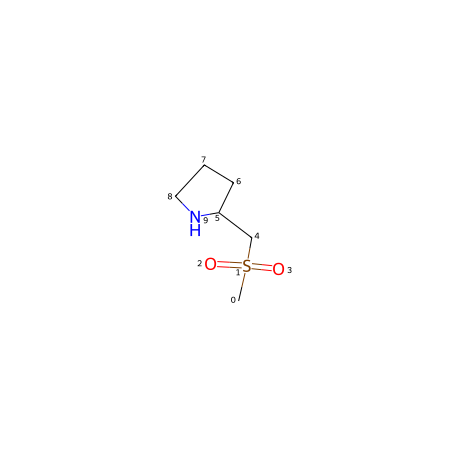 CS(=O)(=O)CC1CCCN1